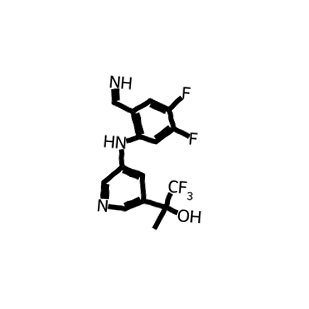 CC(O)(c1cncc(Nc2cc(F)c(F)cc2C=N)c1)C(F)(F)F